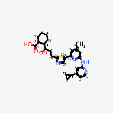 Cc1cc(Nc2cc(C3CC3)ccn2)nc(-c2cnc(CCC(O)C3CCCCC3C(=O)O)s2)c1